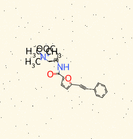 C[N+](C)(C)C[C@@H](CC(=O)[O-])NC(=O)c1ccc(C#Cc2ccccc2)o1